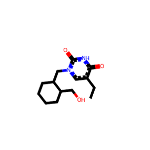 CCc1cn(CC2CCCCC2CO)c(=O)[nH]c1=O